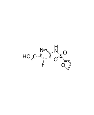 O=C(O)c1ncc(NS(=O)(=O)c2ccco2)cc1F